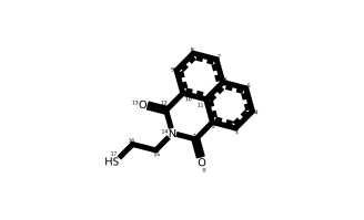 O=C1c2cccc3cccc(c23)C(=O)N1CCS